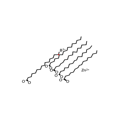 CCCCCCCCCCCCCCCC(=O)[O-].CCCCCCCCCCCCCCCC(=O)[O-].CCCCCCCCCCCCCCCC(=O)[O-].CCCCCCCCCCCCCCCC(=O)[O-].CCCCCCCCCCCCCCCC(=O)[O-].[B+3].[Zn+2]